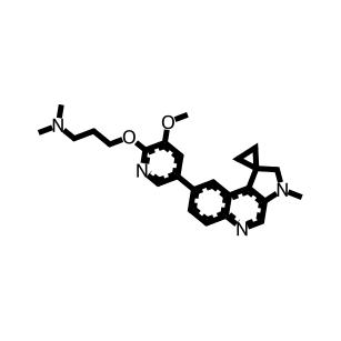 COc1cc(-c2ccc3ncc4c(c3c2)C2(CC2)CN4C)cnc1OCCCN(C)C